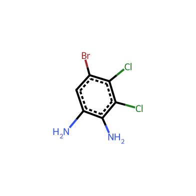 Nc1cc(Br)c(Cl)c(Cl)c1N